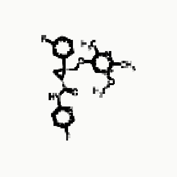 CO[n+]1cc(OC[C@@]2(c3cccc(F)c3)C[C@H]2C(=O)Nc2ccc(F)cn2)c(C)nc1C